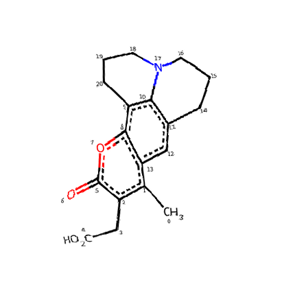 Cc1c(CC(=O)O)c(=O)oc2c3c4c(cc12)CCCN4CCC3